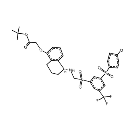 CC(C)(C)OC(=O)COc1cccc2c1CCC[C@H]2NCS(=O)(=O)c1cc(C(F)(F)F)cc(S(=O)(=O)c2ccc(Cl)cc2)c1